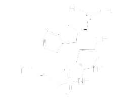 CN(C)C[C@@H]1Cc2ccccc2[C@H]1c1cc(NS(=O)(=O)CCCC(F)(F)F)ccc1O.Cl